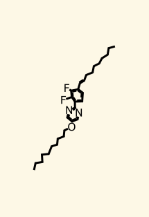 CCCCCCCCC=Cc1ccc(-c2ncc(OCCCCCCCCCC)cn2)c(F)c1F